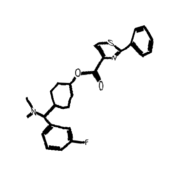 CN(C)C(c1cccc(F)c1)C1CCC(OC(=O)c2csc(-c3ccccc3)n2)CC1